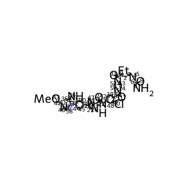 CCC(CCN(C)CC(N)=O)C(=O)N1CCN(C(=O)c2ccc(NC(=O)c3ncc(-c4ccc(/C(C(C)=N)=C(\C)N(C)CCOC)cc4)n3C)cc2Cl)CC1